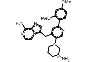 COc1ccc(-c2cc(Cc3cnc4c(N)nccn34)c(N3CCC[C@@H](N)C3)cn2)c(OC)c1